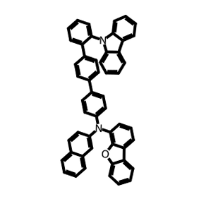 c1ccc(-n2c3ccccc3c3ccccc32)c(-c2ccc(-c3ccc(N(c4ccc5ccccc5c4)c4cccc5c4oc4ccccc45)cc3)cc2)c1